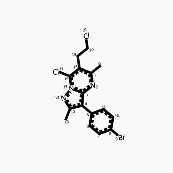 Cc1nc2c(-c3ccc(Br)cc3)c(C)nn2c(Cl)c1CCCl